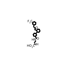 O=C(O)NCCNC(=O)c1cccc(-c2cccc3oc(Cc4cccc(C(F)(F)F)c4)cc23)c1